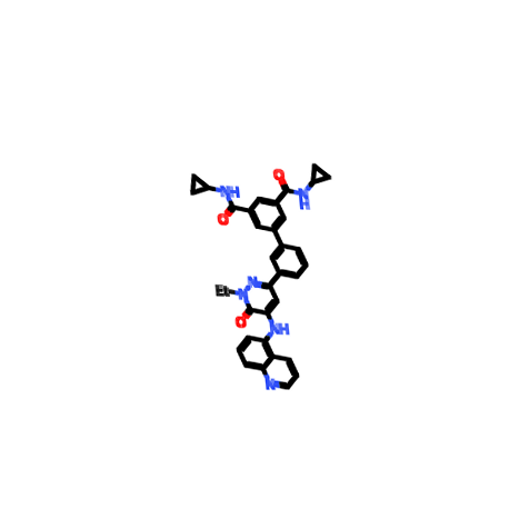 CCn1nc(-c2cccc(-c3cc(C(=O)NC4CC4)cc(C(=O)NC4CC4)c3)c2)cc(Nc2cccc3ncccc23)c1=O